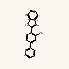 Cc1cc(-c2ccccc2)ccc1-c1cc2ccccc2s1